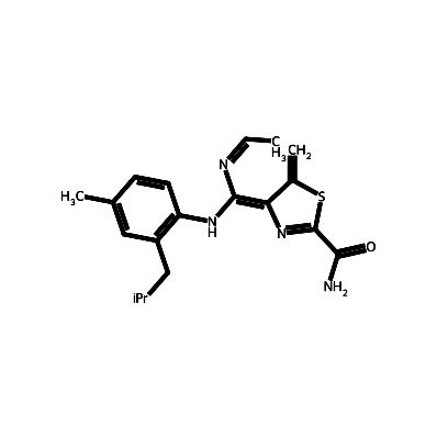 C=c1sc(C(N)=O)n/c1=C(/N=C\C)Nc1ccc(C)cc1CC(C)C